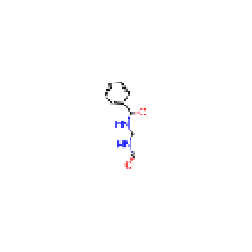 O=[C]NCNC(=O)c1ccccc1